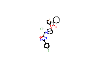 O=C(OC1C[N+]2(Cc3nc(-c4ccc(F)cc4)no3)CCC1CC2)C1(c2cccs2)CCCCCC1.[Cl-]